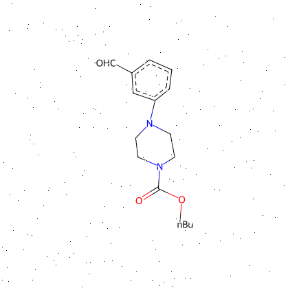 CCCCOC(=O)N1CCN(c2cccc([C]=O)c2)CC1